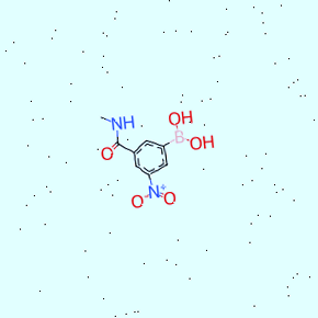 CNC(=O)c1cc(B(O)O)cc([N+](=O)[O-])c1